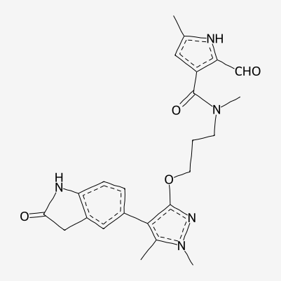 Cc1cc(C(=O)N(C)CCCOc2nn(C)c(C)c2-c2ccc3c(c2)CC(=O)N3)c(C=O)[nH]1